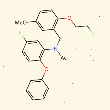 COc1ccc(OCCF)c(CN(C(C)=O)c2cc(F)ccc2Oc2ccccc2)c1